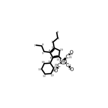 CCCC1=C(CCC)C(C2CCCCC2)=[C]([Mn](=[C]=O)(=[C]=O)=[C]=O)C1